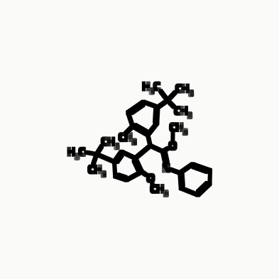 COC(=Nc1ccccc1)C(c1cc(C(C)(C)C)ccc1C)c1cc(C(C)(C)C)ccc1OC